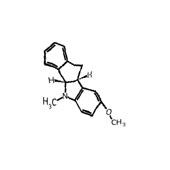 COc1ccc2c(c1)[C@H]1Cc3ccccc3[C@H]1N2C